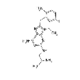 CCn1c(Cc2cc(I)ccc2N)nc2c(N)nc(NCC(C)N)nc21